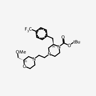 COC[C@@H]1CN(CCN2CCN(C(=O)OC(C)(C)C)[C@H](Cc3ccc(C(F)(F)F)cc3)C2)CCO1